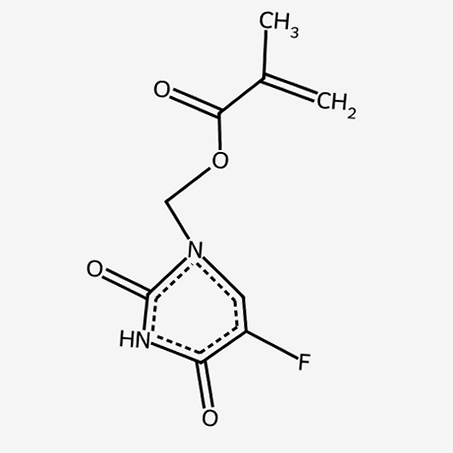 C=C(C)C(=O)OCn1cc(F)c(=O)[nH]c1=O